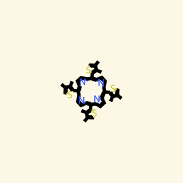 Cc1csc(C2=C3C=CC(=N3)C(c3scc(C)c3C)=C3C=CC(=N3)C(c3scc(C)c3C)=C3C=CC(=N3)C(c3scc(C)c3C)=C3C=CC2=N3)c1C